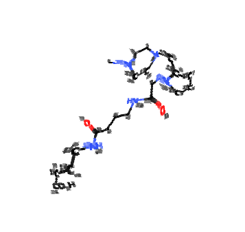 C[15N]1CCN([13CH2][13CH]2[13CH2][13CH2][13CH2][15N]2CC(=O)NCCCC(=O)[15NH][13CH2][13CH2][13CH2][13C](=O)O)[13CH2][13CH2]1